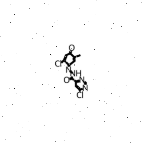 CC1=C/C(=N\NC(=O)c2cc(Cl)ncn2)C(Cl)=CC1=O